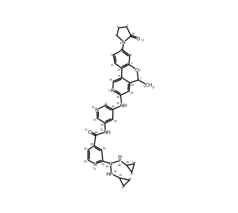 CC1Oc2cc(N3CCCC3=O)ccc2-c2cnc(Nc3cncc(NC(=O)c4ccnc(N(PC5CC5)PC5CC5)c4)c3)cc21